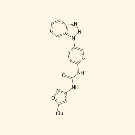 CC(C)(C)c1cc(NC(=O)Nc2ccc(-n3nnc4ccccc43)cc2)no1